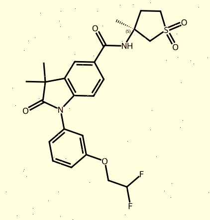 CC1(C)C(=O)N(c2cccc(OCC(F)F)c2)c2ccc(C(=O)N[C@@]3(C)CCS(=O)(=O)C3)cc21